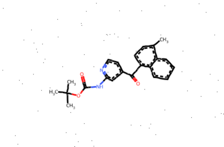 Cc1ccc(C(=O)c2ccnc(NC(=O)OC(C)(C)C)c2)c2ccccc12